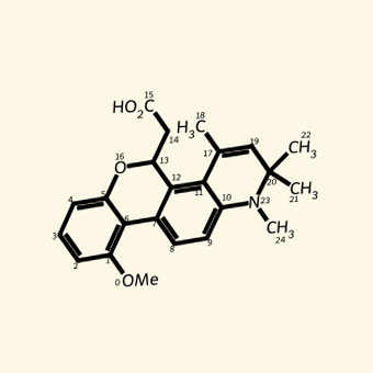 COc1cccc2c1-c1ccc3c(c1C(CC(=O)O)O2)C(C)=CC(C)(C)N3C